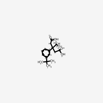 CC(C)(C)c1cccc(C(CC(=O)O)(CC(=O)O)C(=O)O)c1